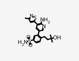 Cc1cc(-c2cc(-c3cc(S(N)(=O)=O)ccc3CCC(C)(C)O)cnc2N)sn1